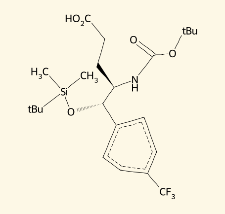 CC(C)(C)OC(=O)N[C@H](CCC(=O)O)[C@@H](O[Si](C)(C)C(C)(C)C)c1ccc(C(F)(F)F)cc1